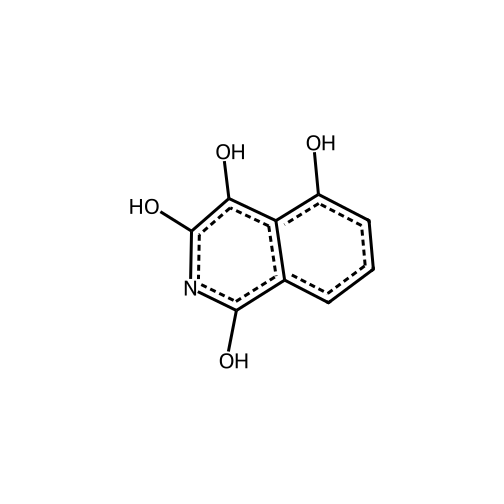 Oc1nc(O)c2cccc(O)c2c1O